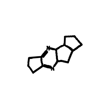 C1CC2=NC3CC4CCCC4C3N=C2C1